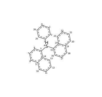 [c]1ccc([SH](c2cccc3ccccc23)c2cccc3ccccc23)cc1